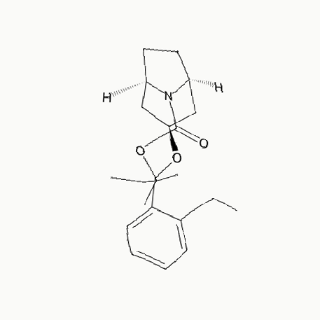 CCc1ccccc1CO[C@H]1C[C@H]2CC[C@@H](C1)N2C(=O)OC(C)(C)C